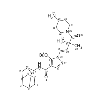 CC(C)COc1c(C(=O)NC2C3CC4CC(C3)CC2C4)cnn1/C=C/C(C)(C)C(=O)N1CCC(N)CC1